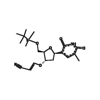 Cc1cn([C@H]2C[C@H](O/C=C/C#N)[C@@H](CO[Si](C)(C)C(C)(C)C)O2)c(=O)[nH]c1=O